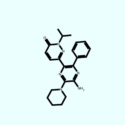 CC(C)n1nc(-c2nc(N3CCCCC3)c(N)nc2-c2ccccc2)ccc1=O